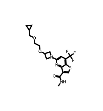 CNC(=O)c1csc2c(C(F)(F)F)cc(N3CC(OCCOCC4CC4)C3)nc12